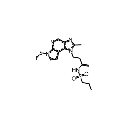 C=C(CCn1c(C)nc2cnc3c(ccn3SI)c21)NS(=O)(=O)CCC